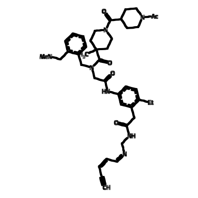 C#C/C=C\C=N/CNC(=O)Cc1cc(NC(=O)CN(Cc2ccccc2CNC)C(=O)C2(C)CCN(C(=O)C3CCN(C(C)=O)CC3)CC2)ccc1CC